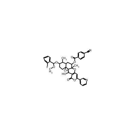 COC(OC1CCC2(C)C(CC(OC(=O)c3ccc(C#N)cc3)C3(C)Oc4cc(-c5cccnc5)oc(=O)c4C(O)C23)C1C)c1ccccc1F